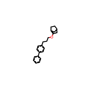 c1ccc(-c2ccc(CCCOC3=C4CCC(C4)C3)cc2)cc1